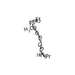 CCC(=O)NCC(F)C(C)OCCOCCOCCOCCOCCNC(C)C